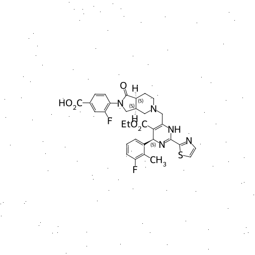 CCOC(=O)C1=C(CN2CC[C@@H]3C(=O)N(c4ccc(C(=O)O)cc4F)C[C@@H]3C2)NC(c2nccs2)=N[C@H]1c1cccc(F)c1C